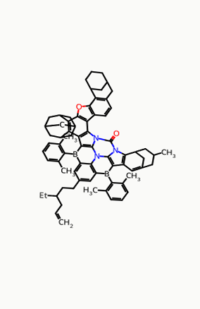 C=CCC(CC)CCc1cc2c3c(c1)B(c1c(C)cccc1C)c1c4c5c(c6oc7c8c(ccc7c6c4n4c(=O)n6c7c(c(c6n-3c14)B2c1c(C)cccc1C)C=C1CC(C)CC7C1)CC1CCCC8C1)C1CC2CC(C1)CC5C2